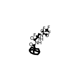 O=C(NC(=O)C12CC3CC(CC(C3)C1)C2)C(F)(F)CNS(=O)(=O)C(F)(F)F